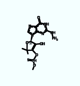 CO[PH](=S)OC1=C(O)[C@H](n2cnc3c(=O)[nH]c(NP)nc32)OC1(C)C